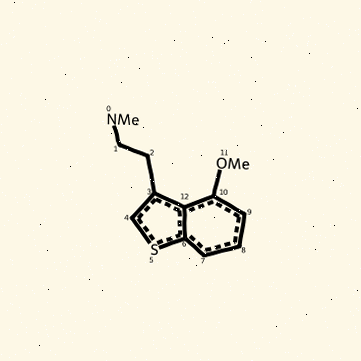 CNCCc1csc2cccc(OC)c12